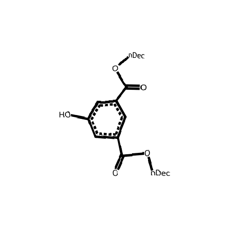 CCCCCCCCCCOC(=O)c1cc(O)cc(C(=O)OCCCCCCCCCC)c1